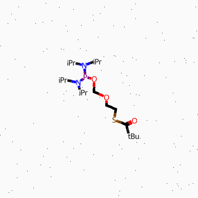 CC(C)N(C(C)C)P(OCOCCSC(=O)C(C)(C)C)N(C(C)C)C(C)C